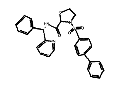 O=C(N[C@@H](c1ccccc1)c1ccccn1)C1SCCN1S(=O)(=O)c1ccc(-c2ccccc2)cc1